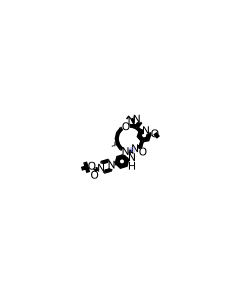 COc1cc2cc(n1)-c1cnn(C)c1OCCC[C@@H](C)CN1/C(=N/C2=O)Nc2ccc(N3CCN(C(=O)OC(C)(C)C)CC3)cc21